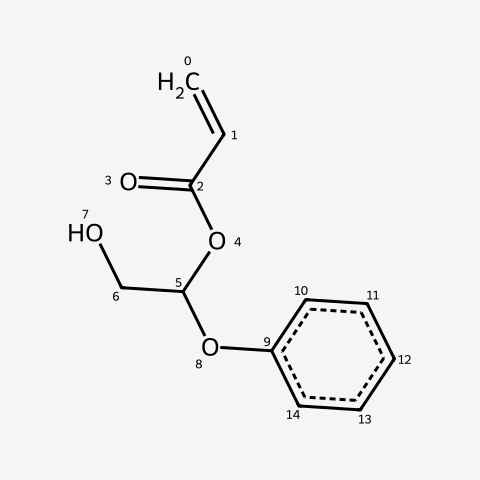 C=CC(=O)OC(CO)Oc1ccccc1